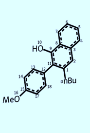 CCCCc1cc2ccccc2c(O)c1-c1ccc(OC)cc1